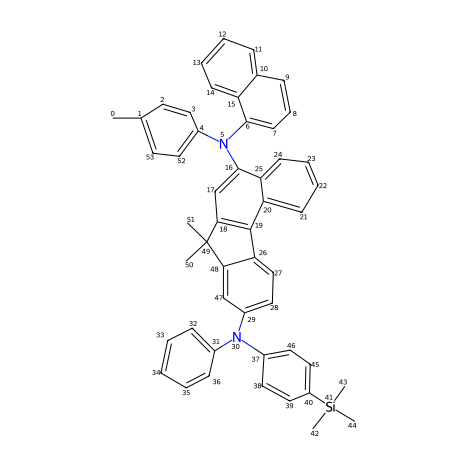 Cc1ccc(N(c2cccc3ccccc23)c2cc3c(c4ccccc24)-c2ccc(N(c4ccccc4)c4ccc([Si](C)(C)C)cc4)cc2C3(C)C)cc1